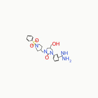 N=C(N)c1cccc(N2CC(CO)CN(CC3CCN(S(=O)(=O)c4ccccc4)CC3)C2=O)c1